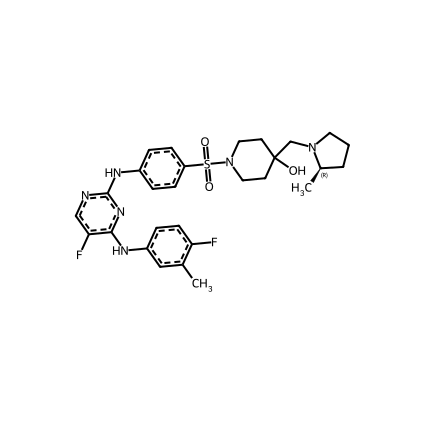 Cc1cc(Nc2nc(Nc3ccc(S(=O)(=O)N4CCC(O)(CN5CCC[C@H]5C)CC4)cc3)ncc2F)ccc1F